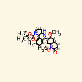 COc1cc2c(cc1CNC1CCCN(C(=O)OC(C)(C)C)C1c1ccccc1)N(OC)C(=O)CC2